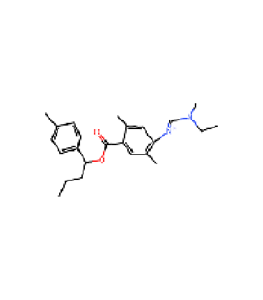 CCCC(OC(=O)c1cc(C)c(/N=C/N(C)CC)cc1C)c1ccc(C)cc1